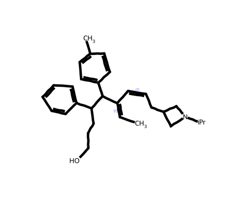 C/C=C(\C=C/CC1CN(C(C)C)C1)C(c1ccc(C)cc1)C(CCCO)c1ccccc1